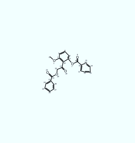 COc1cccc(OC(=O)c2ccccn2)c1C(=O)COC(=O)c1ccccc1